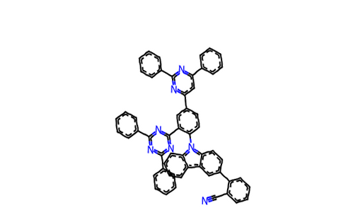 N#Cc1ccccc1-c1ccc2c(c1)c1ccccc1n2-c1ccc(-c2cc(-c3ccccc3)nc(-c3ccccc3)n2)cc1-c1nc(-c2ccccc2)nc(-c2ccccc2)n1